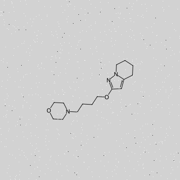 c1c(OCCCCN2CCOCC2)nn2c1CCCC2